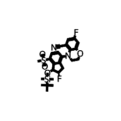 CC(C)(C)[Si](C)(C)OC1c2c(S(C)(=O)=O)ccc(N3CCOc4cc(F)cc(C#N)c43)c2C[C@H]1F